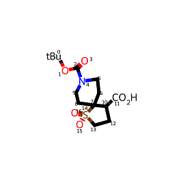 CC(C)(C)OC(=O)N1CCC2(CC1)C(C(=O)O)CCS2(=O)=O